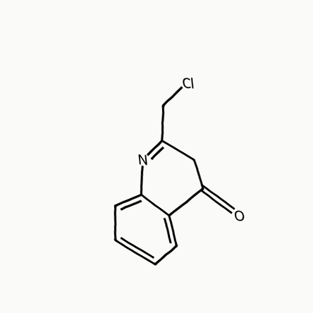 O=C1CC(CCl)=Nc2ccccc21